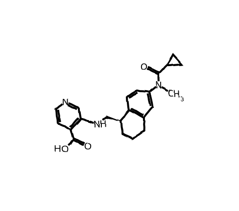 CN(C(=O)C1CC1)c1ccc2c(c1)CCC[C@H]2CNc1cnccc1C(=O)O